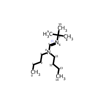 CCCCN(/C=N/C(C)(C)C)CCCC